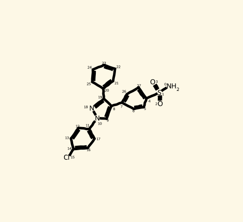 NS(=O)(=O)c1ccc(-c2cn(-c3ccc(Cl)cc3)nc2-c2ccccc2)cc1